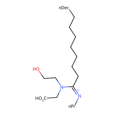 CCCCCCCCCCCCCCCCC/C(=N/CCC)N(CCO)CC(=O)O